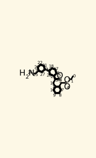 CCOC(=O)Cc1ccccc1Cc1coc2ccc(-c3cccc(CN)c3)cc12